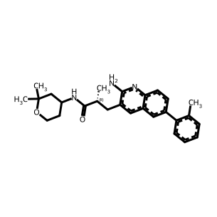 Cc1ccccc1-c1ccc2nc(N)c(C[C@@H](C)C(=O)NC3CCOC(C)(C)C3)cc2c1